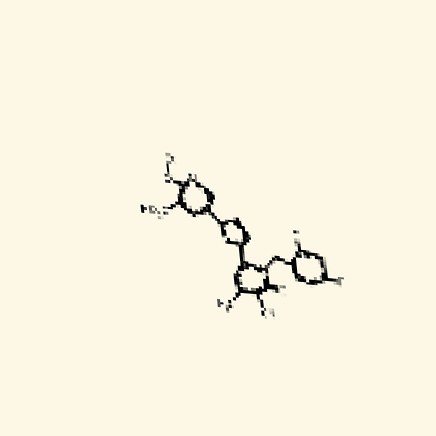 CCOc1ncc(-c2ccc(-c3cc(C(F)(F)F)c(C#N)c(=O)n3Cc3ccc(F)cc3F)s2)cc1C(=O)O